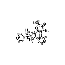 CCN(NC(=O)c1nc(C(C)(C)N2CCOCC2)sc1N1CCOCC1)C(=O)OC(C)(C)C